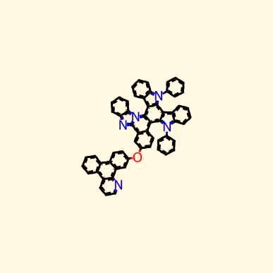 c1ccc(-n2c3ccccc3c3c2c2c4ccc(Oc5ccc6c7ccccc7c7cccnc7c6c5)cc4c4nc5ccccc5n4c2c2c4ccccc4n(-c4ccccc4)c32)cc1